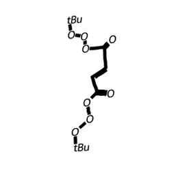 CC(C)(C)OOOC(=O)C=CC(=O)OOOC(C)(C)C